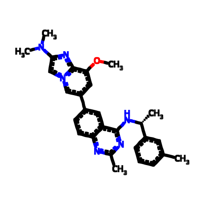 COc1cc(-c2ccc3nc(C)nc(N[C@H](C)c4cccc(C)c4)c3c2)cn2cc(N(C)C)nc12